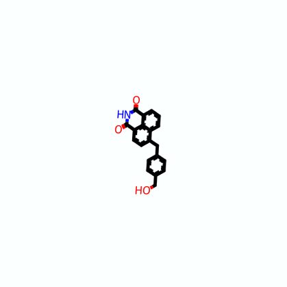 O=C1NC(=O)c2ccc(Cc3ccc(CO)cc3)c3cccc1c23